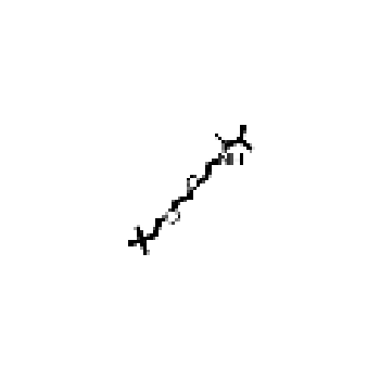 CC(C)[C@H](C)NCCOCCOCCC(C)(C)C